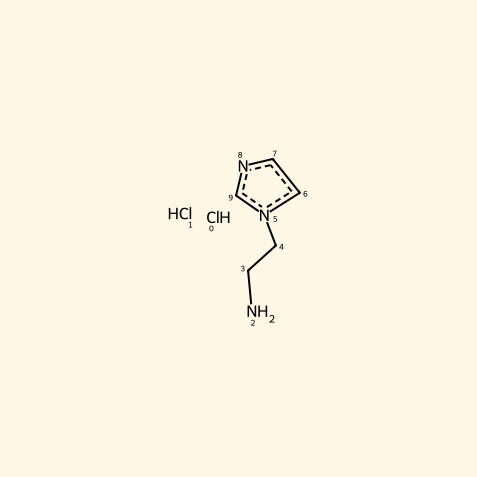 Cl.Cl.NCCn1ccnc1